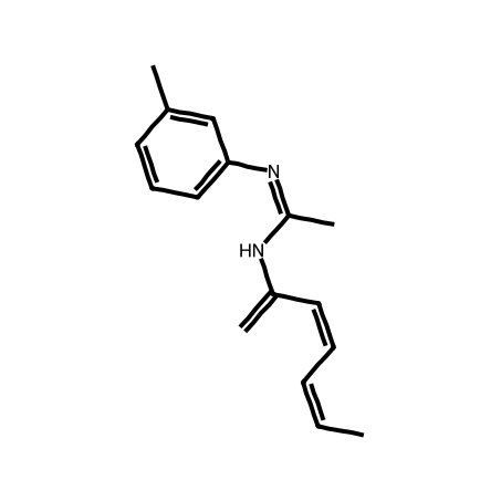 C=C(/C=C\C=C/C)N/C(C)=N\c1cccc(C)c1